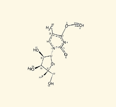 C#COc1nc(=O)n([C@@H]2O[C@](F)(CO)[C@@H](O)[C@H]2O)cc1C